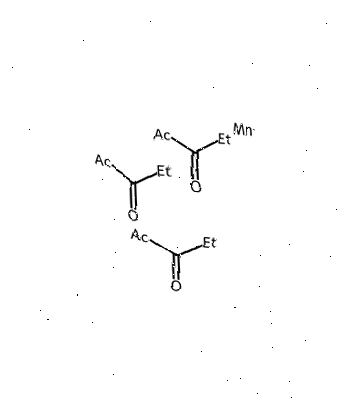 CCC(=O)C(C)=O.CCC(=O)C(C)=O.CCC(=O)C(C)=O.[Mn]